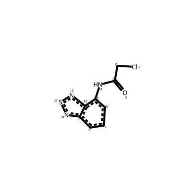 O=C(CCl)Nc1cccc2nsnc12